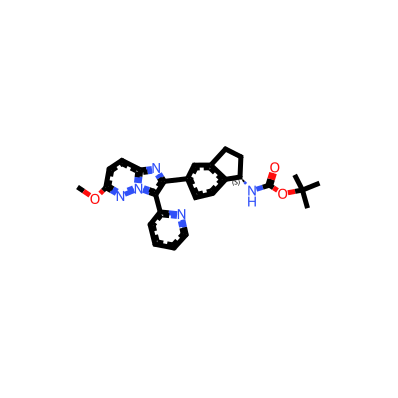 COc1ccc2nc(-c3ccc4c(c3)CC[C@@H]4NC(=O)OC(C)(C)C)c(-c3ccccn3)n2n1